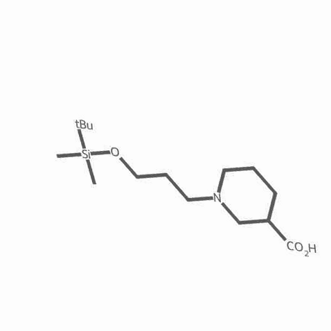 CC(C)(C)[Si](C)(C)OCCCN1CCCC(C(=O)O)C1